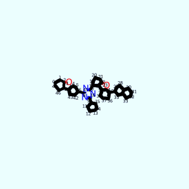 C1=CC2Oc3cc(-c4nc(-c5ccccc5)nc(-c5cccc6oc7c(-c8ccc9ccccc9c8)cccc7c56)n4)ccc3C2C=C1